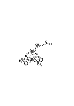 C/N=C(\C=C1/C(=O)C(/C=C2/N(C)c3ccccc3C2(C)C)=C1NC(CS(=O)(=O)O)C(=O)NCCN(C)CCCCCC(=O)O)C(C)(C)c1ccccc1C